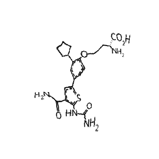 NC(=O)Nc1sc(-c2ccc(OCC[C@@H](N)C(=O)O)c(C3CCCC3)c2)cc1C(N)=O